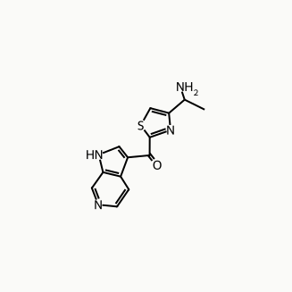 CC(N)c1csc(C(=O)c2c[nH]c3cnccc23)n1